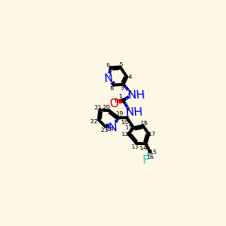 O=C(Nc1cccnc1)N[C@@H](c1ccc(CF)cc1)c1ccccn1